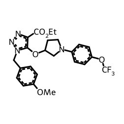 CCOC(=O)c1nnn(Cc2ccc(OC)cc2)c1OC1CCN(c2ccc(OC(F)(F)F)cc2)C1